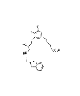 CC(C)(CC1Cc2ccccc2C1)NC[C@H](O)COc1cc(CCCCC(=O)O)cc(F)c1F